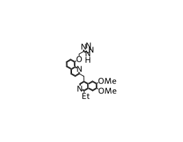 CCc1ncc(Cc2ccc3cccc(OCc4nnn[nH]4)c3n2)c2cc(OC)c(OC)cc12